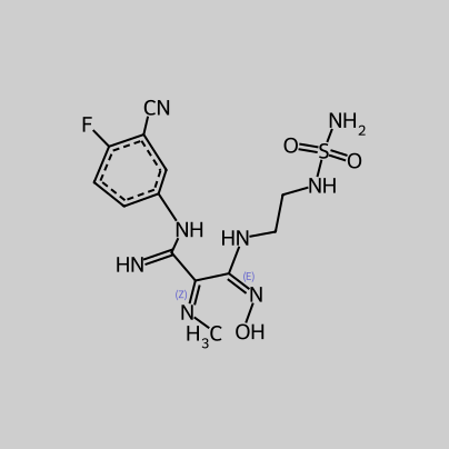 C/N=C(C(=N)Nc1ccc(F)c(C#N)c1)\C(=N/O)NCCNS(N)(=O)=O